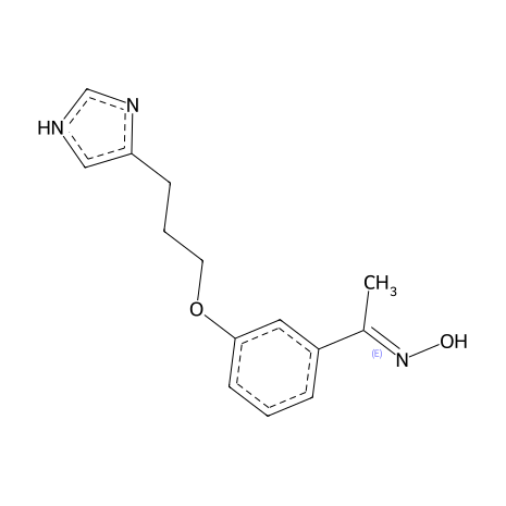 C/C(=N\O)c1cccc(OCCCc2c[nH]cn2)c1